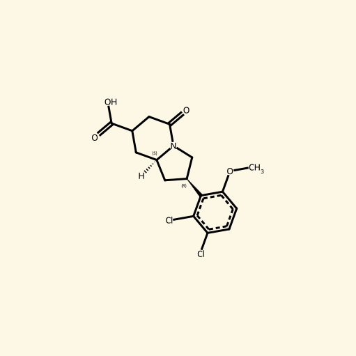 COc1ccc(Cl)c(Cl)c1[C@H]1C[C@H]2CC(C(=O)O)CC(=O)N2C1